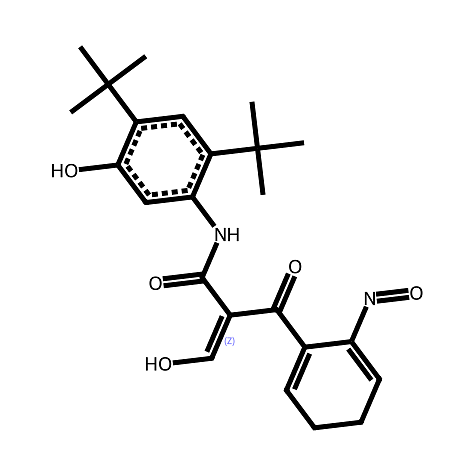 CC(C)(C)c1cc(C(C)(C)C)c(NC(=O)/C(=C\O)C(=O)C2=CCCC=C2N=O)cc1O